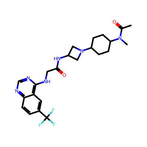 CC(=O)N(C)C1CCC(N2CC(NC(=O)CNc3ncnc4ccc(C(F)(F)F)cc34)C2)CC1